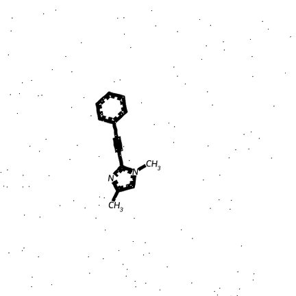 Cc1cn(C)c(C#Cc2ccccc2)n1